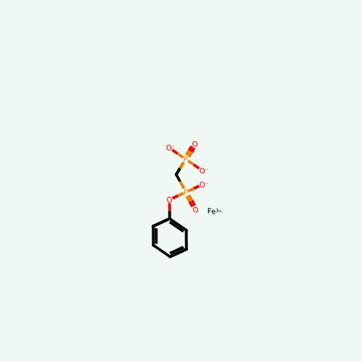 O=P([O-])([O-])CP(=O)([O-])Oc1ccccc1.[Fe+3]